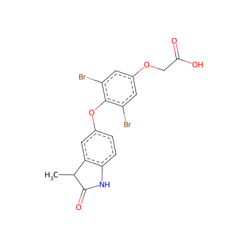 CC1C(=O)Nc2ccc(Oc3c(Br)cc(OCC(=O)O)cc3Br)cc21